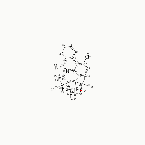 Cc1ccc2c3c1c1ccccc1c1ncc(n13)C(C(F)(F)F)(C(F)(F)F)C2(C(F)(F)F)C(F)(F)F